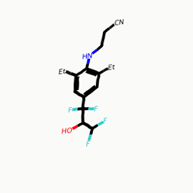 CCc1cc(C(F)(F)C(O)C(F)F)cc(CC)c1NCCC#N